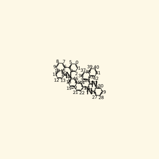 c1ccc2c(c1)-c1cccc3cccc(c13)N2c1ccc2ccc(-c3nc4ccccc4nc3-c3cccc4ccccc34)cc2c1